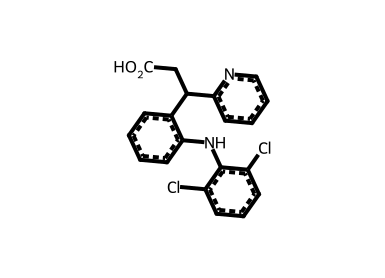 O=C(O)CC(c1ccccn1)c1ccccc1Nc1c(Cl)cccc1Cl